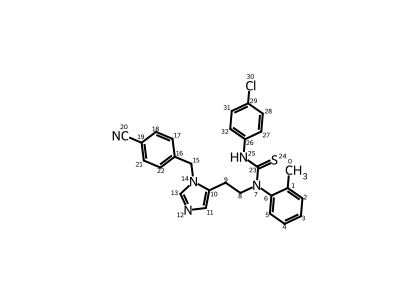 Cc1ccccc1N(CCc1cncn1Cc1ccc(C#N)cc1)C(=S)Nc1ccc(Cl)cc1